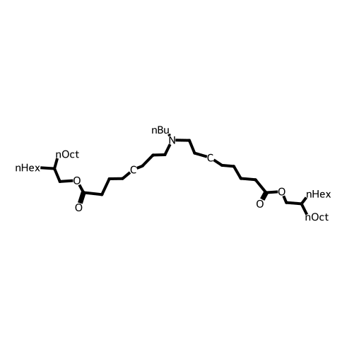 CCCCCCCCC(CCCCCC)COC(=O)CCCCCCCN(CCCC)CCCCCCCC(=O)OCC(CCCCCC)CCCCCCCC